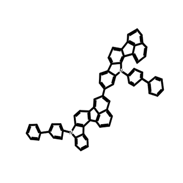 c1ccc(-c2ccc(-n3c4ccccc4c4c5c(ccc43)-c3cc(-c4ccc6c7ccc8c(c7n(-c7ccc(-c9ccccc9)cc7)c6c4)-c4cccc6cccc-8c46)cc4cccc-5c34)cc2)cc1